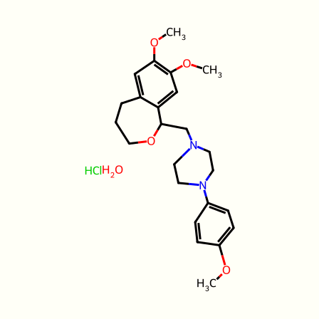 COc1ccc(N2CCN(CC3OCCCc4cc(OC)c(OC)cc43)CC2)cc1.Cl.O